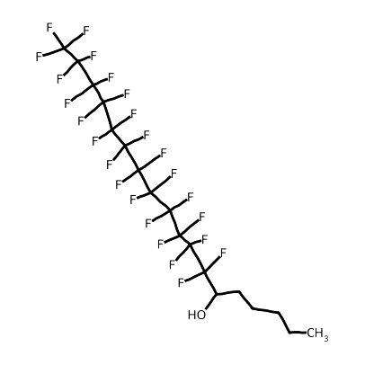 CCCCCC(O)C(F)(F)C(F)(F)C(F)(F)C(F)(F)C(F)(F)C(F)(F)C(F)(F)C(F)(F)C(F)(F)C(F)(F)C(F)(F)C(F)(F)F